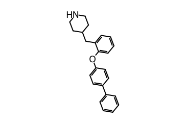 c1ccc(-c2ccc(Oc3ccccc3CC3CCNCC3)cc2)cc1